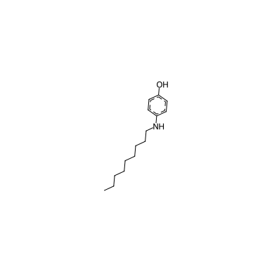 CCCCCCCCCNc1ccc(O)cc1